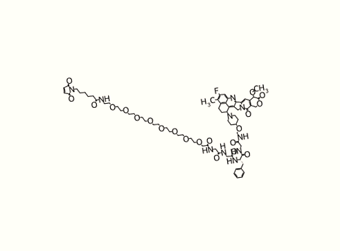 CO[C@H]1C(=O)OCc2c1cc1n(c2=O)Cc2c-1nc1cc(F)c(C)c3c1c2[C@@H](N1CCC(OCNC(=O)CNC(=O)[C@H](Cc2ccccc2)NC(=O)CNC(=O)CNC(=O)COCCOCCOCCOCCOCCOCCOCCOCCNC(=O)CCCCCN2C(=O)C=CC2=O)CC1)CC3